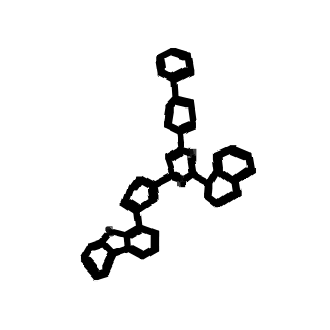 c1ccc(-c2ccc(-c3cc(-c4cccc(-c5cccc6c5sc5ccccc56)c4)nc(-c4cccc5ccccc45)n3)cc2)cc1